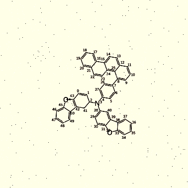 C1=CC(N(c2ccc(-c3cccc4ccc5c6ccccc6ccc5c34)cc2)c2ccc3oc4ccccc4c3c2)Cc2c1oc1ccccc21